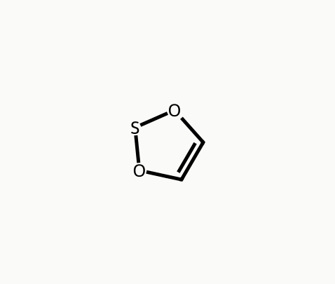 C1=COSO1